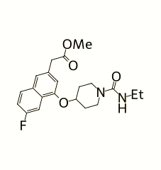 CCNC(=O)N1CCC(Oc2cc(CC(=O)OC)cc3ccc(F)cc23)CC1